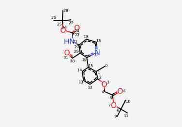 Cc1c(OCC(=O)OC(C)(C)C)cccc1-c1nccc(NC(=O)OC(C)(C)C)c1C=O